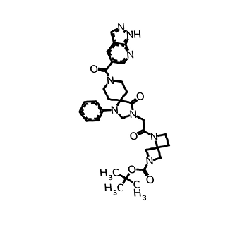 CC(C)(C)OC(=O)N1CC2(CCN2C(=O)CN2CN(c3ccccc3)C3(CCN(C(=O)c4cnc5[nH]ncc5c4)CC3)C2=O)C1